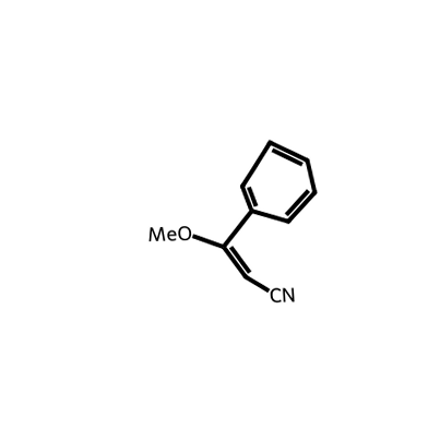 CO/C(=C/C#N)c1ccccc1